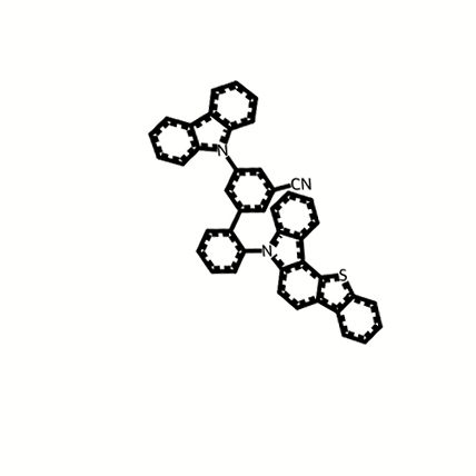 N#Cc1cc(-c2ccccc2-n2c3ccccc3c3c4sc5ccccc5c4ccc32)cc(-n2c3ccccc3c3ccccc32)c1